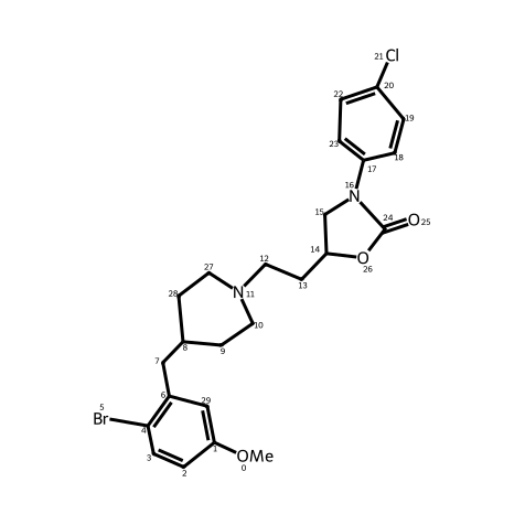 COc1ccc(Br)c(CC2CCN(CCC3CN(c4ccc(Cl)cc4)C(=O)O3)CC2)c1